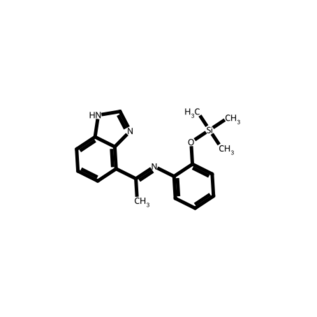 CC(=Nc1ccccc1O[Si](C)(C)C)c1cccc2[nH]cnc12